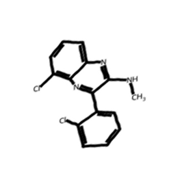 CNc1nc2cccc(Cl)c2nc1-c1ccccc1Cl